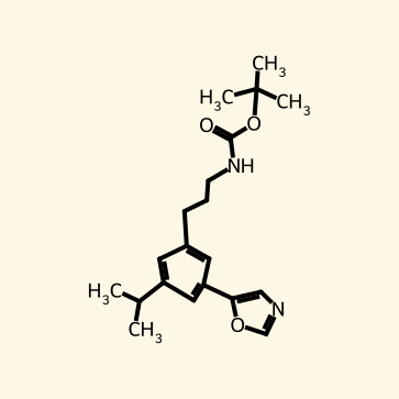 CC(C)c1cc(CCCNC(=O)OC(C)(C)C)cc(-c2cnco2)c1